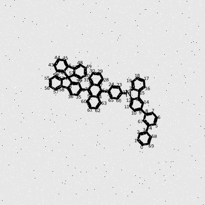 c1ccc(-c2cccc(-c3ccc4c(c3)c3ccccc3n4-c3ccc(-c4c5ccccc5c(-c5ccc6c(c5)C5(c7ccccc7-c7ccccc75)c5ccccc5-6)c5ccccc45)cc3)c2)cc1